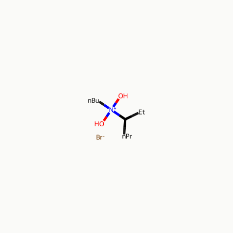 CCCC[N+](O)(O)C(CC)CCC.[Br-]